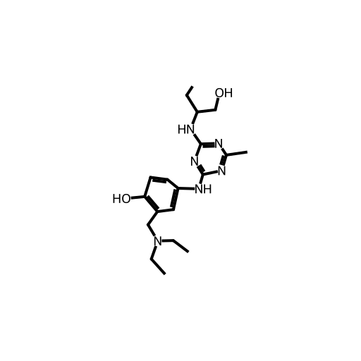 CCC(CO)Nc1nc(C)nc(Nc2ccc(O)c(CN(CC)CC)c2)n1